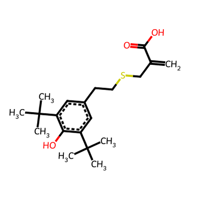 C=C(CSCCc1cc(C(C)(C)C)c(O)c(C(C)(C)C)c1)C(=O)O